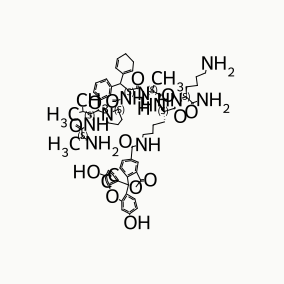 CC(C)[C@H](NC(=O)[C@H](C)N)C(=O)N1CCC[C@H]1C(=O)N[C@H](C(=O)N[C@@H](C)C(=O)N[C@@H](CCCCNC(=O)c1ccc2c(c1)C(=O)OC21c2ccc(O)cc2Oc2cc(O)ccc21)C(=O)N[C@@H](CCCCN)C(N)=O)C(C1=CCCC=C1)c1ccccc1